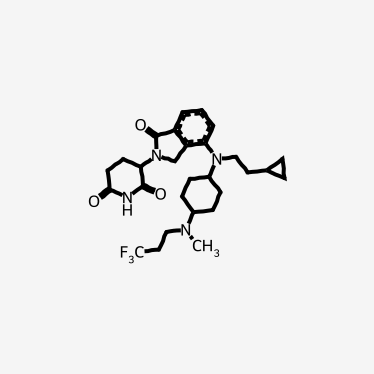 CN(CCC(F)(F)F)C1CCC(N(CCC2CC2)c2cccc3c2CN(C2CCC(=O)NC2=O)C3=O)CC1